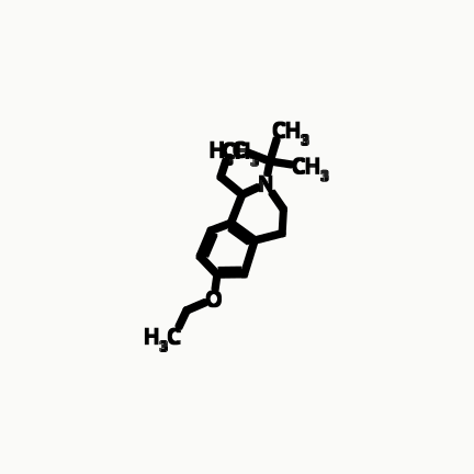 CCOc1ccc2c(c1)CCN(C(C)(C)C)C2CC